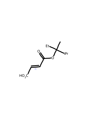 CCC(C)(OC(=O)/C=C/C(=O)O)C(C)C